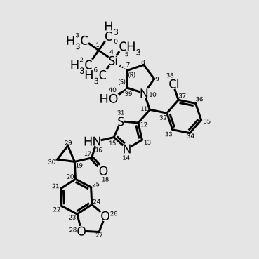 CC(C)(C)[Si](C)(C)[C@@H]1CCN(C(c2cnc(NC(=O)C3(c4ccc5c(c4)OCO5)CC3)s2)c2ccccc2Cl)[C@H]1O